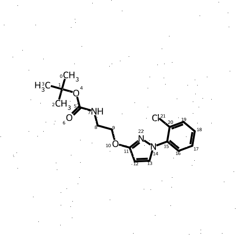 CC(C)(C)OC(=O)NCCOc1ccn(-c2ccccc2Cl)n1